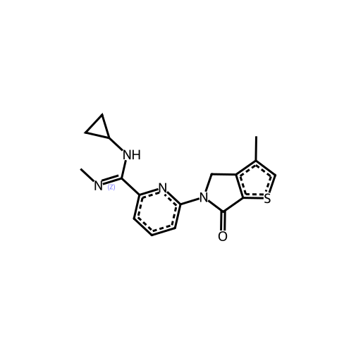 C/N=C(\NC1CC1)c1cccc(N2Cc3c(C)csc3C2=O)n1